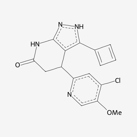 COc1cnc(C2CC(=O)Nc3n[nH]c(C4=CC=C4)c32)cc1Cl